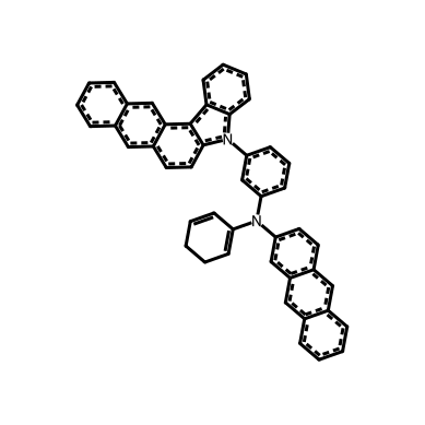 C1=CC(N(c2cccc(-n3c4ccccc4c4c5cc6ccccc6cc5ccc43)c2)c2ccc3cc4ccccc4cc3c2)=CCC1